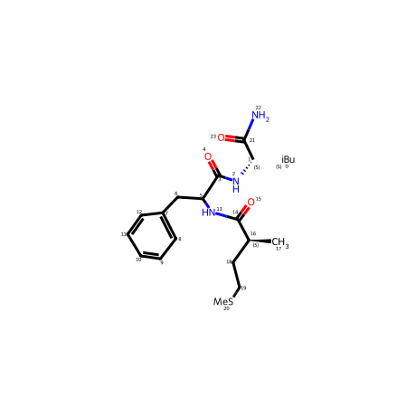 CC[C@H](C)[C@H](NC(=O)C(Cc1ccccc1)NC(=O)[C@@H](C)CCSC)C(N)=O